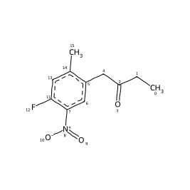 CCC(=O)Cc1cc([N+](=O)[O-])c(F)cc1C